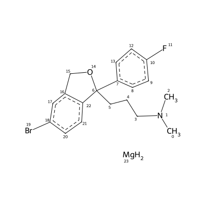 CN(C)CCCC1(c2ccc(F)cc2)OCc2cc(Br)ccc21.[MgH2]